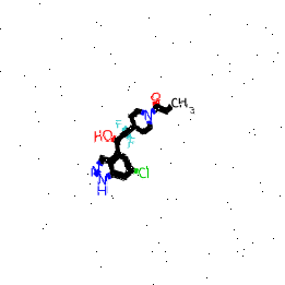 CCC(=O)N1CCC(C(F)(F)C(O)c2cc(Cl)cc3[nH]ncc23)CC1